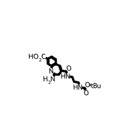 CC(C)(C)OC(=O)NCCCNC(=O)C1=Cc2ccc(C(=O)O)cc2N=C(N)C1